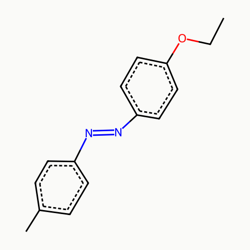 CCOc1ccc(/N=N/c2ccc(C)cc2)cc1